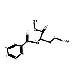 NOC(=O)C(CCC(=O)O)NC(=O)c1ccccc1